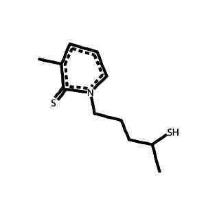 Cc1cccn(CCCC(C)S)c1=S